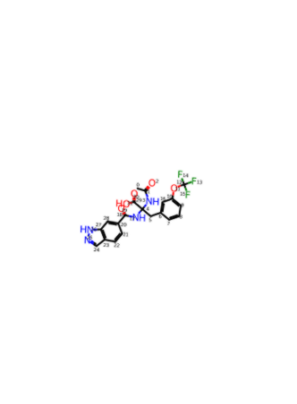 CC(=O)NC(Cc1cccc(OC(F)(F)F)c1)(NC(=O)c1ccc2cn[nH]c2c1)C(=O)O